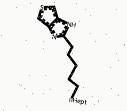 CCCCCCCCCCCCc1nc2cscc2[nH]1